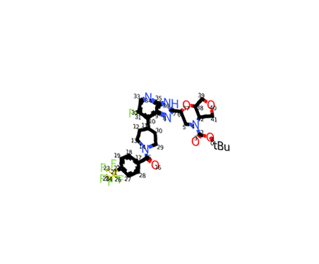 CC(C)(C)OC(=O)N1CC(c2nc3c(C4CCN(C(=O)c5ccc(S(F)(F)(F)(F)F)cc5)CC4)c(F)cnc3[nH]2)OC2COCC21